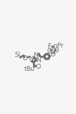 CCCC(F)S(=O)(=O)Oc1cccc(-c2cnc3c(n2)c(C(=O)C(C)(C)C)cn3COCC[Si](C)(C)C)c1